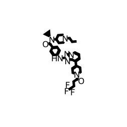 CCCN1CCC(N(C(=O)c2ccc(Nc3nc4c(C5=CCN(C(=O)CCC(F)(F)F)CC5)cccn4n3)cc2)C2CC2)CC1